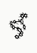 c1ccc(-c2ccc3ccc4ccc(-c5ccc6oc7cccc(-c8ccc(-c9nc(-c%10ccccc%10)nc(-c%10ccc%11oc%12ccccc%12c%11c%10)n9)cc8)c7c6c5)cc4c3c2)cc1